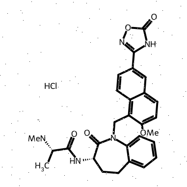 CN[C@@H](C)C(=O)N[C@H]1CCc2ccccc2N(Cc2c(OC)ccc3cc(-c4noc(=O)[nH]4)ccc23)C1=O.Cl